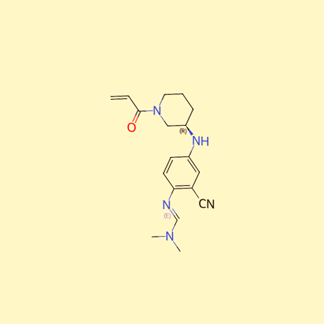 C=CC(=O)N1CCC[C@@H](Nc2ccc(/N=C/N(C)C)c(C#N)c2)C1